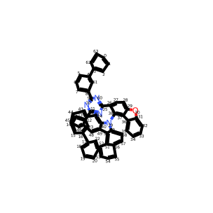 c1ccc(-c2cccc(-c3nc(-c4cccc(-c5ccccc5)c4)nc(-c4ccc5oc6ccccc6c5c4-n4c5cc6ccccc6cc5c5c6ccccc6ccc54)n3)c2)cc1